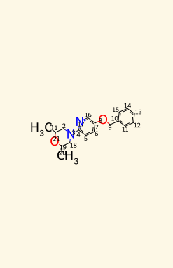 CC1CN(c2ccc(OCc3ccccc3)cn2)CC(C)O1